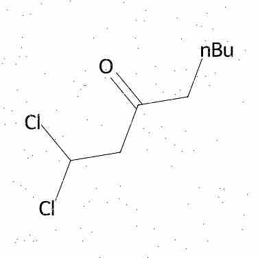 CCCCCC(=O)CC(Cl)Cl